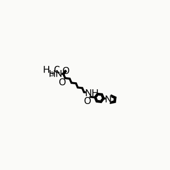 CNC(=O)C(=O)CCCCCCNC(=O)c1ccc(-n2cccc2)cc1